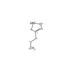 CCCC1=CON[C]1